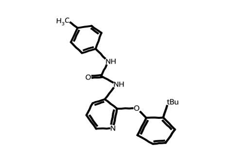 Cc1ccc(NC(=O)Nc2cccnc2Oc2ccccc2C(C)(C)C)cc1